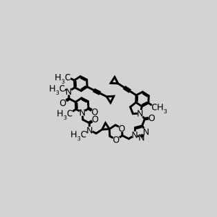 Cc1ccc(C#CC2CC2)cc1N(C)C(=O)c1ccc(=O)n(CC(=O)N(C)CC2CC23COC(Cn2cc(C(=O)N4CCc5c(C#CC6CC6)ccc(C)c54)nn2)OC3)c1C